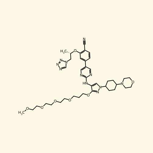 COCCOCCOCCOCCCOc1nn(C2CCC(N3CCOCC3)CC2)cc1Nc1ncc(-c2ccc(C#N)c(O[C@@H](C)Cn3cnnn3)c2)cn1